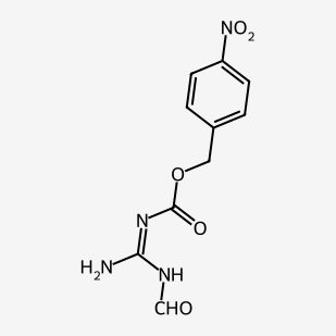 NC(=NC(=O)OCc1ccc([N+](=O)[O-])cc1)NC=O